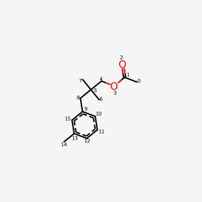 CC(=O)OCC(C)(C)Cc1cccc(C)c1